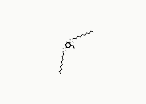 [CH]=Cc1cc([Si](C)(C)CCCCCCCCCC)[c]cc1[Si](C)(C)CCCCCCCCCC